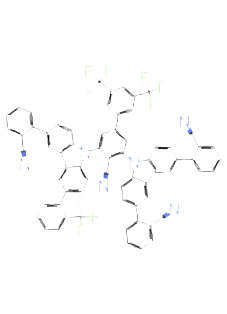 N#Cc1ccccc1-c1ccc2c(c1)c1cc(-c3ccccc3C#N)ccc1n2-c1cc(-c2cc(C(F)(F)F)cc(C(F)(F)F)c2)cc(-n2c3ccc(-c4ccccc4C#N)cc3c3cc(-c4ccccc4C(F)(F)F)ccc32)c1C#N